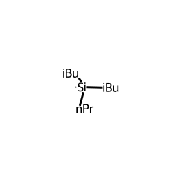 CCC[Si](C(C)CC)C(C)CC